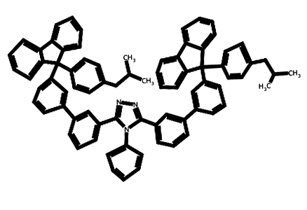 CC(C)Cc1ccc(C2(c3cccc(-c4cccc(-c5nnc(-c6cccc(-c7cccc(C8(c9ccc(CC(C)C)cc9)c9ccccc9-c9ccccc98)c7)c6)n5-c5ccccc5)c4)c3)c3ccccc3-c3ccccc32)cc1